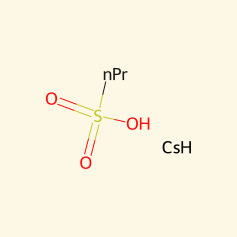 CCCS(=O)(=O)O.[CsH]